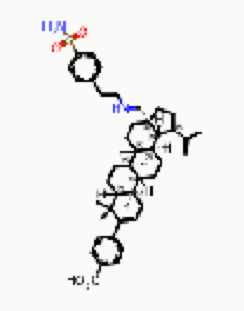 C=C(C)[C@@H]1CC[C@]2(CNCCc3ccc(S(N)(=O)=O)cc3)CC[C@]3(C)[C@H](CC[C@@H]4[C@@]5(C)CC=C(c6ccc(C(=O)O)cc6)C(C)(C)[C@@H]5CC[C@]43C)[C@@H]12